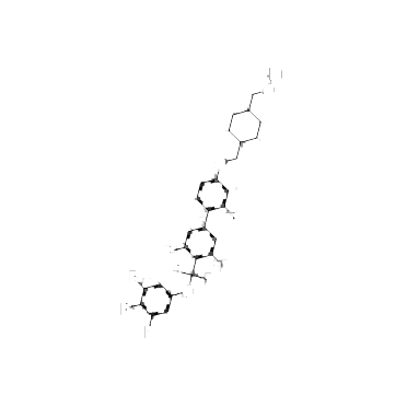 CCOCC1CCC(COc2ccc(-c3cc(F)c(C(F)(F)Oc4cc(F)c(F)c(F)c4)c(F)c3)c(F)c2)CC1